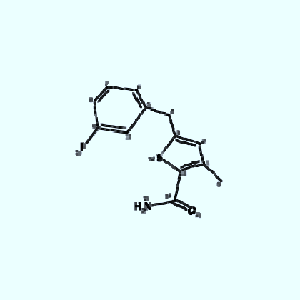 Cc1cc(Cc2cccc(F)c2)sc1C(N)=O